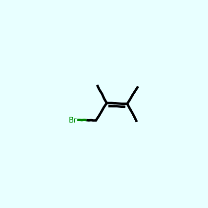 CC(C)=C(C)CBr